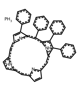 C1=Cc2cc3[nH]c(c(-c4ccccc4)c4nc(cc5ccc(cc1n2)[nH]5)C=C4c1ccccc1)c(-c1ccccc1)c3-c1ccccc1.P